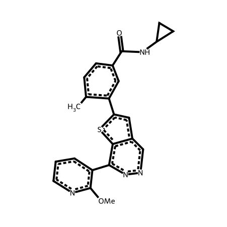 COc1ncccc1-c1nncc2cc(-c3cc(C(=O)NC4CC4)ccc3C)sc12